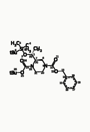 C[C@@H](O[Si](C)(C)C(C)(C)C)[C@H]1CN(C(=O)OCc2ccccc2)CCN1C(=O)OC(C)(C)C